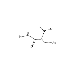 CCNC(=O)C(CC(C)=O)N(C)C(C)=O